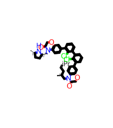 CC(C)CC[C@H](C)CN1C(=O)COc2cc(-c3cccc(-c4cccc(-c5ccc6c(c5)OCC(=O)N6C[C@@H]5CC[C@H](C)N5)c4Cl)c3Cl)ccc21